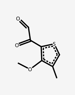 COc1c(C)csc1C(=O)C=O